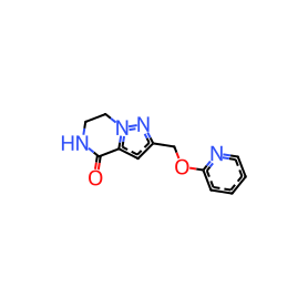 O=C1NCCn2nc(COc3ccccn3)cc21